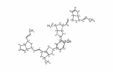 C/C=C/C1CC(/C=C/C2CC(C)C3CC(c4ccc(O)c(C5CC6C(C)CC(/C=C/C7CC(/C=C/C)C8CC=CC78)C6C5)c4)CC23)C2C=CCC12